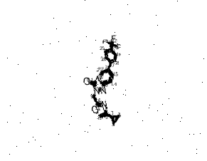 O=c1n(Cc2nc(C3CC3)co2)nc2ccc(-c3ccc(C(F)(F)F)cc3)cn12